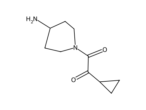 NC1CCN(C(=O)C(=O)C2CC2)CC1